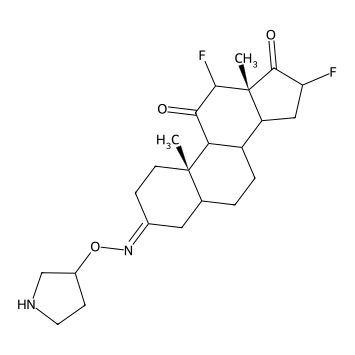 C[C@]12CCC(=NOC3CCNC3)CC1CCC1C2C(=O)C(F)[C@]2(C)C(=O)C(F)CC12